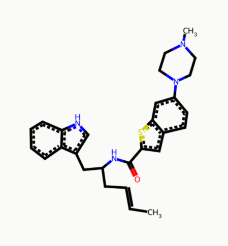 CC=CCC(Cc1c[nH]c2ccccc12)NC(=O)c1cc2ccc(N3CCN(C)CC3)cc2s1